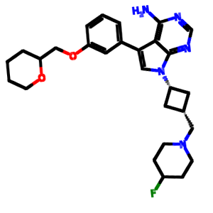 Nc1ncnc2c1c(-c1cccc(OCC3CCCCO3)c1)cn2[C@H]1C[C@@H](CN2CCC(F)CC2)C1